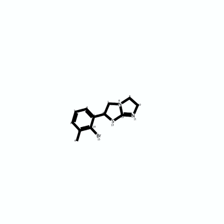 Cc1cccc(C2CN3CCN=C3S2)c1Br